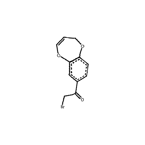 O=C(CBr)c1ccc2c(c1)OC=CCO2